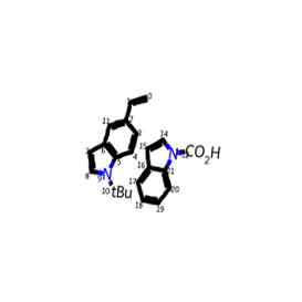 C=Cc1ccc2c(ccn2C(C)(C)C)c1.O=C(O)n1ccc2ccccc21